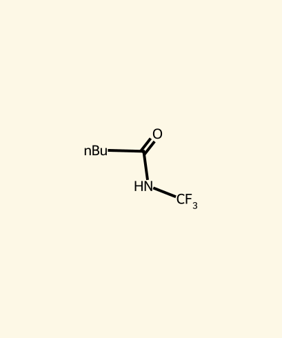 [CH2]CCCC(=O)NC(F)(F)F